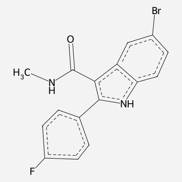 CNC(=O)c1c(-c2ccc(F)cc2)[nH]c2ccc(Br)cc12